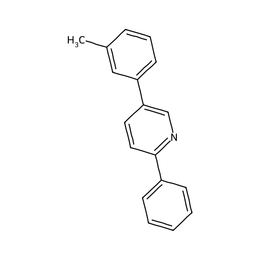 Cc1cccc(-c2ccc(-c3ccccc3)nc2)c1